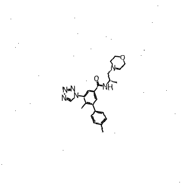 Cc1ccc(-c2cc(C(=O)N[C@H](C)CN3CCOCC3)cc(-n3cnnn3)c2C)cc1